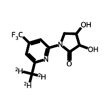 [2H]C([2H])([2H])c1cc(C(F)(F)F)cc(N2CC(O)C(O)C2=O)n1